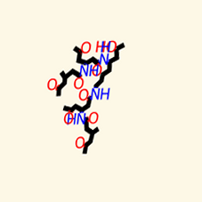 CC(=O)CC(C)CC(=O)NC(CC(C)=O)CC(=O)NCCCCC(CC(C)O)NC(=O)CC(CC(C)=O)NC(=O)CC(C)CC(C)=O